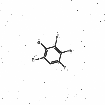 Fc1[c]c(Br)c(Br)c(Br)c1Br